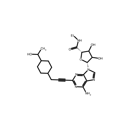 CCNC(=O)[C@H]1O[C@@H](n2cnc3c(N)nc(C#CCC4CCC(C(C)O)CC4)nc32)C(O)C1O